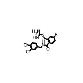 N=C(N)SCc1cc(Br)ccc1C(=O)NCc1ccc(Cl)c(Cl)c1